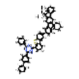 CC1(C)c2ccccc2-c2cc3c(cc21)-c1cc(-c2ccc4sc5c(-c6nc(-c7ccccc7)nc(-c7ccc(-c8ccccc8)cc7)n6)cccc5c4c2)ccc1C31CCCCC1